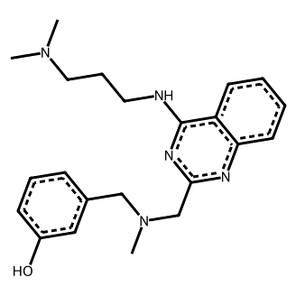 CN(C)CCCNc1nc(CN(C)Cc2cccc(O)c2)nc2ccccc12